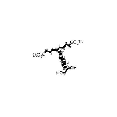 C=C.C=C.C=C.C=C.C=C.C=C.C=C.CCOC(=O)CCCCCCCCC(=O)OCC.OCCO